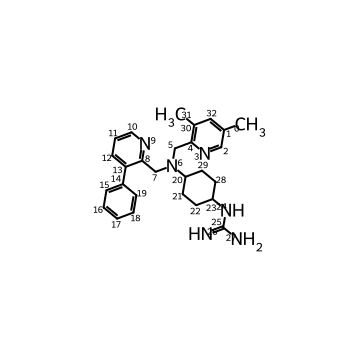 Cc1cnc(CN(Cc2ncccc2-c2ccccc2)C2CCC(NC(=N)N)CC2)c(C)c1